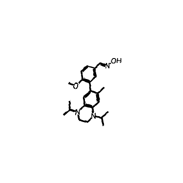 COc1ccc(C=NO)cc1-c1cc2c(cc1C)N(C(C)C)CCN2C(C)C